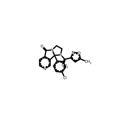 C=C(c1cc(C)on1)N1CCN2C(=O)c3ccncc3C12c1ccc(Cl)cc1